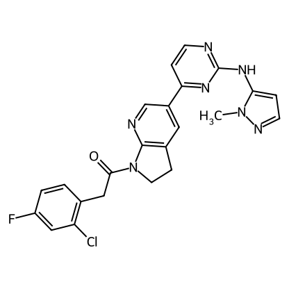 Cn1nccc1Nc1nccc(-c2cnc3c(c2)CCN3C(=O)Cc2ccc(F)cc2Cl)n1